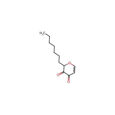 CCCCCCCC1OC=CC(=O)C1=O